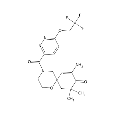 CC1(C)CC2(C=C(N)C1=O)CN(C(=O)c1ccc(OCC(F)(F)F)nn1)CCO2